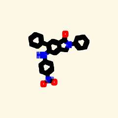 O=C1c2cc(-c3ccccc3)c(Nc3ccc([N+](=O)[O-])cc3)cc2CN1c1ccccc1